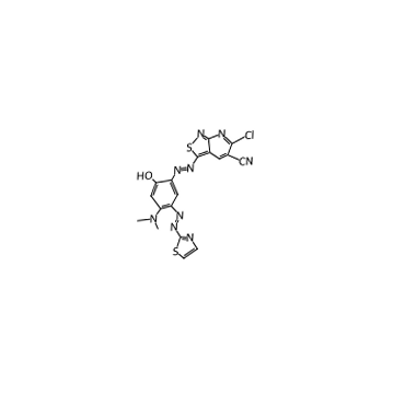 CN(C)c1cc(O)c(/N=N/c2snc3nc(Cl)c(C#N)cc23)cc1/N=N/c1nccs1